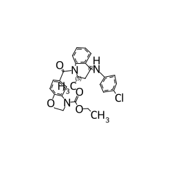 CCOC(=O)N1CCOc2ccc(C(=O)N3c4ccccc4[C@H](Nc4ccc(Cl)cc4)C[C@@H]3C)cc21